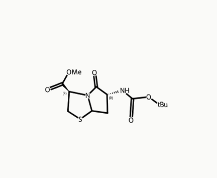 COC(=O)[C@@H]1CSC2C[C@@H](NC(=O)OC(C)(C)C)C(=O)N21